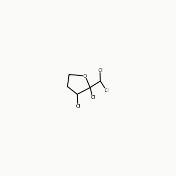 Cl[C](Cl)C1(Cl)OCCC1Cl